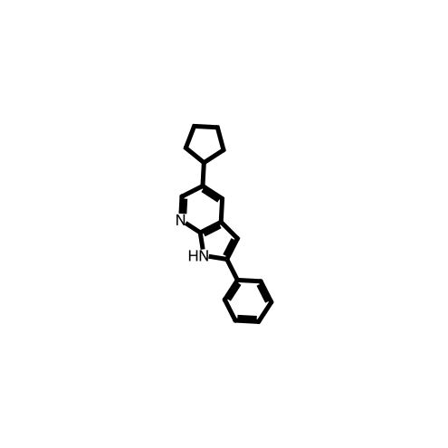 c1ccc(-c2cc3cc(C4CCCC4)cnc3[nH]2)cc1